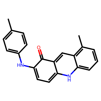 Cc1ccc(Nc2ccc3[nH]c4cccc(C)c4cc-3c2=O)cc1